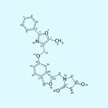 Cc1oc(-c2ccccc2)nc1COc1ccc2coc(CN3CC(=O)SC3=O)c2c1